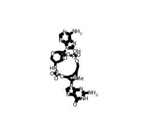 COC1C2COP(=O)(O)OC3C4OC(n5cnc6c(N)ncnc65)C3OCC4NS(=O)(=O)OC1C(n1cnc3c(=O)[nH]c(N)nc31)O2